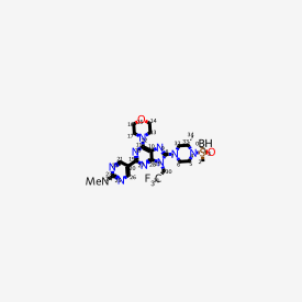 B=S(C)(=O)N1CCN(c2nc3c(N4CCOCC4)nc(-c4cnc(NC)nc4)nc3n2CC(F)(F)F)C[C@@H]1C